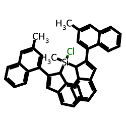 Cc1cc(C2=Cc3ccccc3C2[Si](C)(Cl)C2C(c3cc(C)cc4ccccc34)=Cc3ccccc32)c2ccccc2c1